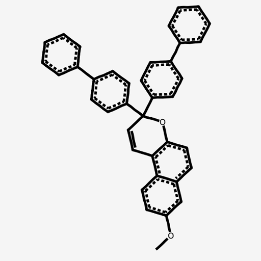 COc1ccc2c3c(ccc2c1)OC(c1ccc(-c2ccccc2)cc1)(c1ccc(-c2ccccc2)cc1)C=C3